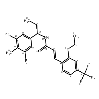 CCOc1cc(C(F)(F)F)ccc1/C=C/C(=O)N[C@H](CC)c1cc(F)c(C)c(F)c1